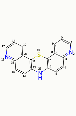 c1cnc2ccc3c(c2c1)Sc1c(ccc2ncccc12)N3